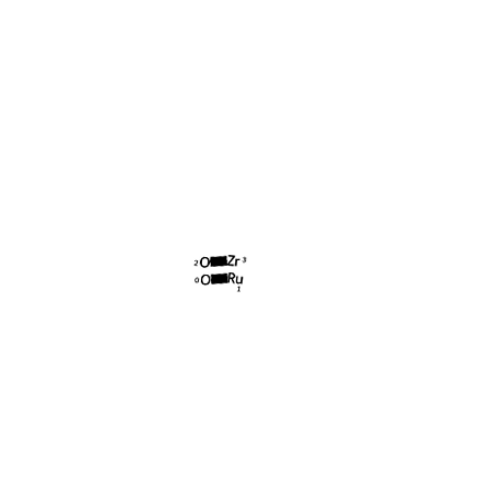 [O]=[Ru].[O]=[Zr]